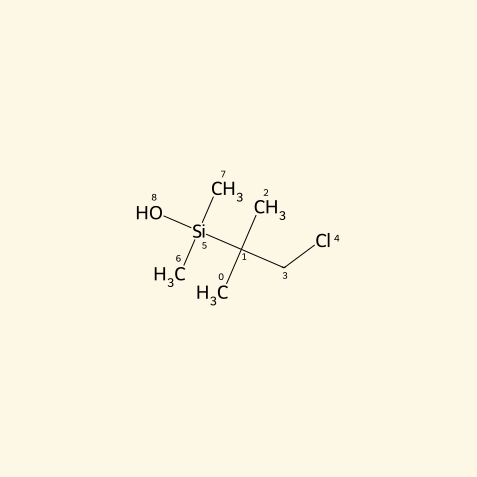 CC(C)(CCl)[Si](C)(C)O